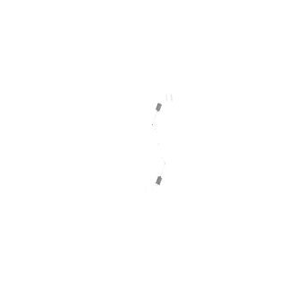 C#CCSSCC#C